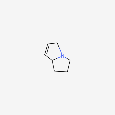 C1=CC2CCCN2C1